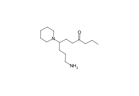 CCCC(=O)CCC(CCCN)N1CCCCC1